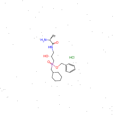 CC(C)[C@H](N)C(=O)NC[C@@H](O)CP(=O)(CC1CCCCC1)OCc1ccccc1.Cl